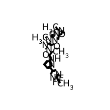 Cc1noc(Cn2c(=O)c3c(ncn3[C@@H](C)C(=O)Nc3cccc(-c4cnc(C(C)(F)F)nc4)n3)n(C)c2=O)n1